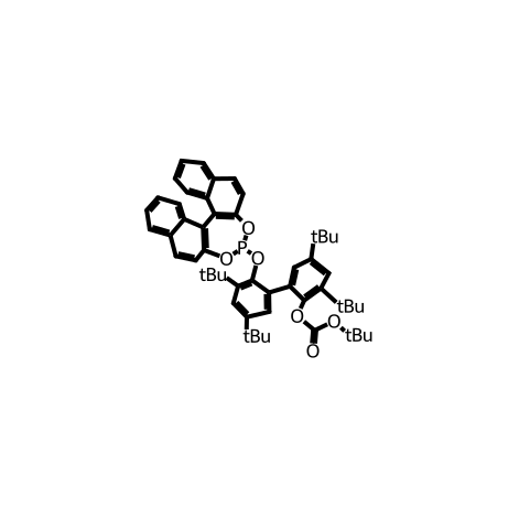 CC(C)(C)OC(=O)Oc1c(-c2cc(C(C)(C)C)cc(C(C)(C)C)c2Op2oc3ccc4ccccc4c3c3c(ccc4ccccc43)o2)cc(C(C)(C)C)cc1C(C)(C)C